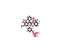 CCc1ccc(C2=C(C(=O)Oc3cccc(CON(O)O)c3)N(c3ccccc3C(F)(F)F)S(=O)(=O)C3C=CC=CC23)c2c1OCO2